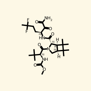 COC(=O)N[C@H](C(=O)N1C[C@H]2[C@@H]([C@H]1C(=O)N[C@@H](CCC(C)(F)F)C(=O)C(N)=O)C(C)(C)C2(C)C)C(C)(C)C